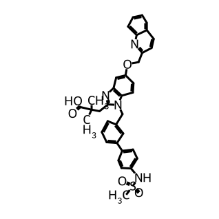 CC(C)(Cc1nc2cc(OCc3ccc4ccccc4n3)ccc2n1Cc1cccc(-c2ccc(NS(C)(=O)=O)cc2)c1)C(=O)O